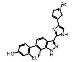 CCc1cc(O)ccc1-c1ccc2c(-c3nc(C4=CCN(C(C)=O)C4)c[nH]3)n[nH]c2c1F